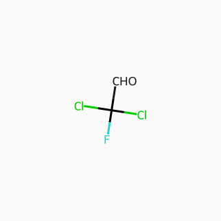 O=CC(F)(Cl)Cl